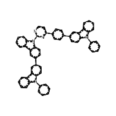 c1ccc(-n2c3ccccc3c3cc(-c4ccc(-c5ccnc(-n6c7ccccc7c7cc(-c8ccc9c(c8)c8ccccc8n9-c8ccccc8)ccc76)n5)cc4)ccc32)cc1